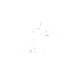 CC(C)(CO)NS(=O)(=O)c1cc(NC(=O)c2cnn3c(C(F)(F)F)cc(-c4ccc(C(F)(F)F)c(Cl)c4)nc23)c(Cl)s1